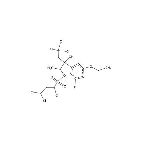 CCOc1cc(F)cc(C(O)(CC(Cl)(Cl)Cl)C(C)OS(=O)(=O)C(Cl)CC(Cl)Cl)c1